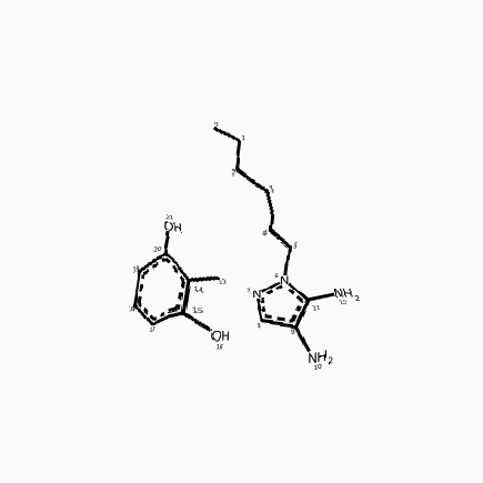 CCCCCCn1ncc(N)c1N.Cc1c(O)cccc1O